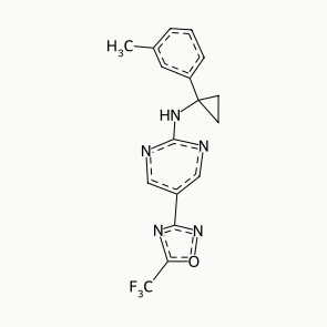 Cc1cccc(C2(Nc3ncc(-c4noc(C(F)(F)F)n4)cn3)CC2)c1